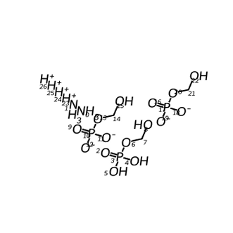 N.N.O=P(O)(O)OCO.O=P([O-])([O-])OCO.O=P([O-])([O-])OCO.[H+].[H+].[H+].[H+]